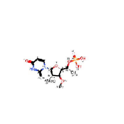 C=C1NC(=O)C=CN1[C@@H]1O[C@H]([C@@H](C)OP(=O)(O)O)C(OC(C)C)[C@@H]1OC